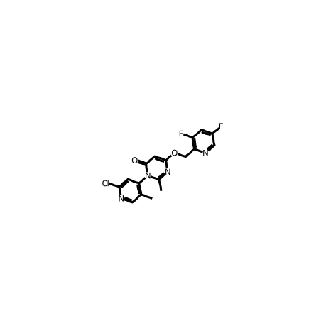 Cc1cnc(Cl)cc1-n1c(C)nc(OCc2ncc(F)cc2F)cc1=O